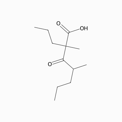 CCCC(C)C(=O)C(C)(CCC)C(=O)O